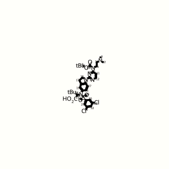 CN(C)CCN(C(=O)OC(C)(C)C)c1ccnc(N2CCc3cc(N(C(C(=O)O)C(C)(C)C)S(=O)(=O)c4cc(Cl)cc(Cl)c4)ccc32)n1